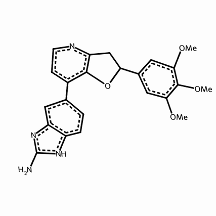 COc1cc(C2Cc3nccc(-c4ccc5[nH]c(N)nc5c4)c3O2)cc(OC)c1OC